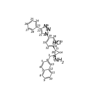 Cl.N[C@]1(Cc2ccc3ccccc3c2)C[C@@H]1c1ccc(-n2cc(-c3ccccc3)nn2)cc1